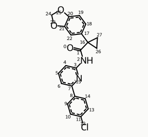 O=C(Nc1cccc(-c2ccc(Cl)cc2)n1)C1(c2ccc3c(c2)OCO3)CC1